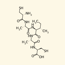 CC[C@H](C)[C@H](NC(=O)[C@H](C)NC(=O)[C@@H](N)CS)C(=O)N[C@@H](C)C(=O)N[C@@H](CS)C(=O)O